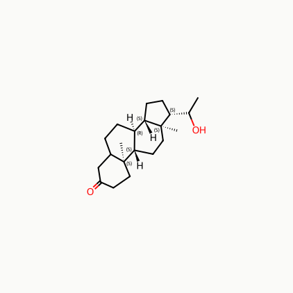 CC(O)[C@H]1CC[C@H]2[C@@H]3CCC4CC(=O)CC[C@]4(C)[C@H]3CC[C@]12C